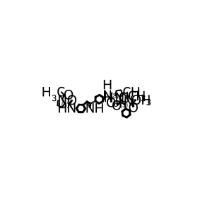 CC(=O)N1CCC[C@H]1C(=O)Nc1ccc2[nH]c(-c3ccc(NC(=O)[C@@H]4CCCN4C(=O)[C@H](c4ccccc4)N(C(=O)O)C(C)(C)C)cc3)cc2c1